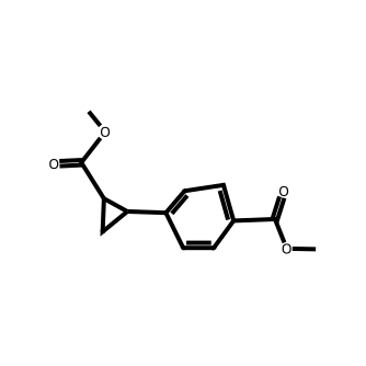 COC(=O)c1ccc(C2CC2C(=O)OC)cc1